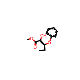 CCC(Oc1ccccc1)=C(O)C(=O)OC